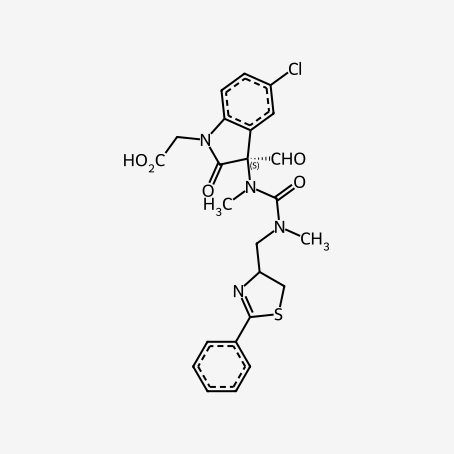 CN(CC1CSC(c2ccccc2)=N1)C(=O)N(C)[C@@]1(C=O)C(=O)N(CC(=O)O)c2ccc(Cl)cc21